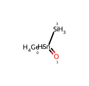 [GeH4].[O]=[SnH][SiH3]